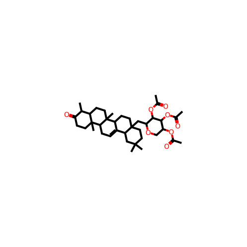 CC(=O)OC1COC(CC23CCC4C(=CCC5C4(C)CCC4C(C)C(=O)CCC45C)C2CC(C)(C)CC3)C(OC(C)=O)C1OC(C)=O